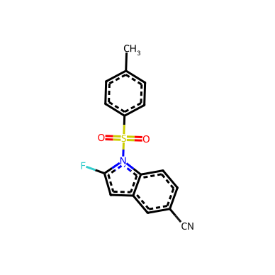 Cc1ccc(S(=O)(=O)n2c(F)cc3cc(C#N)ccc32)cc1